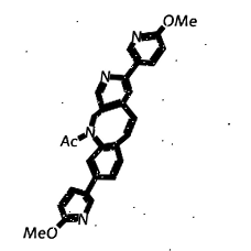 COc1ccc(-c2ccc3c(c2)N(C(C)=O)Cc2cnc(-c4ccc(OC)nc4)cc2C=C3)cn1